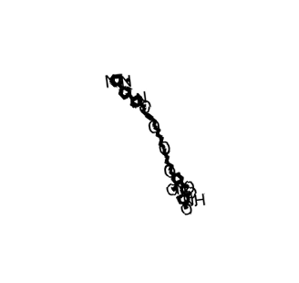 Cn1c2ccncc2c2ccc(-c3ccc(OCC#CCOCCCCOCCCCOc4ccc5c(c4)C(=O)N(C4CCC(=O)NC4=O)C5=O)nc3)cc21